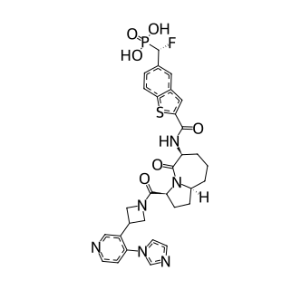 O=C(N[C@H]1CCC[C@H]2CC[C@@H](C(=O)N3CC(c4cnccc4-n4ccnc4)C3)N2C1=O)c1cc2cc([C@@H](F)P(=O)(O)O)ccc2s1